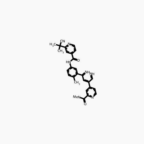 CNC(=O)c1cc(/C(C=N)=C/C(=N)c2cc(NC(=O)c3ccnc(C(C)(C)C#N)c3)ccc2C)ccn1